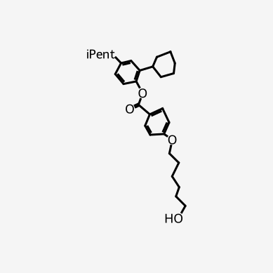 CCCC(C)c1ccc(OC(=O)c2ccc(OCCCCCCO)cc2)c(C2CCCCC2)c1